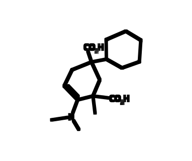 CN(C)C1=CCC(C(=O)O)(C2CCCCC2)CC1(C)C(=O)O